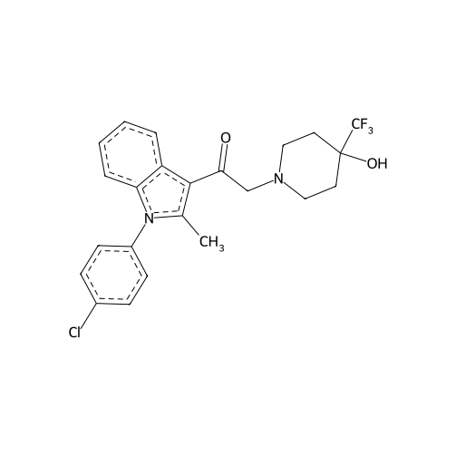 Cc1c(C(=O)CN2CCC(O)(C(F)(F)F)CC2)c2ccccc2n1-c1ccc(Cl)cc1